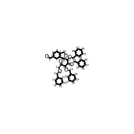 O=Cc1ccc2c(c1)[C@]1(OC2)O[C@H](COCc2ccccc2)[C@@H](OCc2ccccc2)[C@H](OCc2ccccc2)[C@H]1OCc1ccccc1